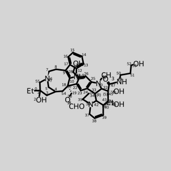 CCC1(O)CC2C[N@](CCc3c([nH]c4ccccc34)[C@@](COC=O)(c3cc4c(cc3CO)N(C)C3[C@]45CCN4CC=C[C@](CC)(C45)[C@@H](O)[C@]3(O)C(=O)NCCCO)C2)C1